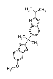 COc1ccc2nc(C(C)(C)c3ccc4sc(C(C)C)nc4c3)sc2c1